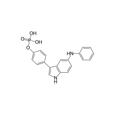 O=P(O)(O)Oc1ccc(-c2c[nH]c3ccc(Nc4ccccc4)cc23)cc1